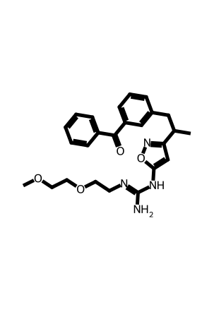 COCCOCCN=C(N)Nc1cc(C(C)Cc2cccc(C(=O)c3ccccc3)c2)no1